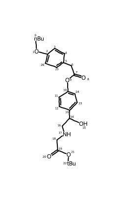 CCCCOc1ccc(CC(=O)Oc2ccc(C(O)CNCC(=O)OC(C)(C)C)cc2)cc1